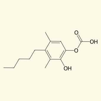 CCCCCc1c(C)cc(OC(=O)O)c(O)c1C